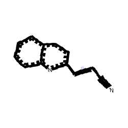 N#C/C=C/c1ccc2ccccc2n1